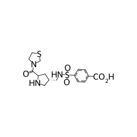 O=C(O)c1ccc(S(=O)(=O)NC[C@@H]2CNC(C(=O)N3CCSC3)C2)cc1